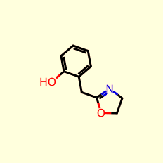 Oc1ccccc1CC1=NCCO1